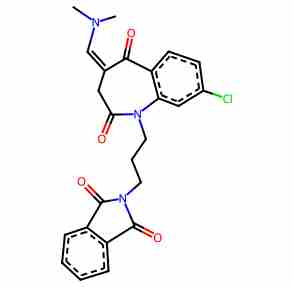 CN(C)/C=C1/CC(=O)N(CCCN2C(=O)c3ccccc3C2=O)c2cc(Cl)ccc2C1=O